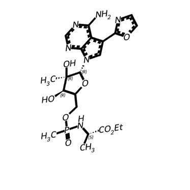 CCOC(=O)[C@H](C)NP(C)(=O)OCC1O[C@@H](n2cc(-c3ncco3)c3c(N)ncnc32)[C@](C)(O)[C@@H]1O